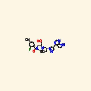 [C-]#[N+]c1ccc(C(=O)N2CCN(CC(CC#N)n3cc(-c4ncnc5[nH]ccc45)cn3)C(CO)C2)c(F)c1